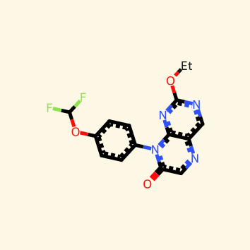 CCOc1ncc2ncc(=O)n(-c3ccc(OC(F)F)cc3)c2n1